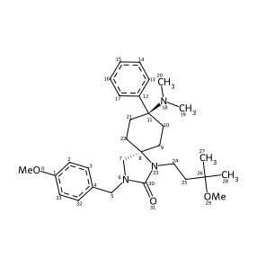 COc1ccc(CN2C[C@]3(CC[C@](c4ccccc4)(N(C)C)CC3)N(CCC(C)(C)OC)C2=O)cc1